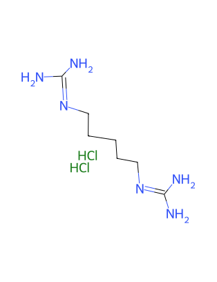 Cl.Cl.NC(N)=NCCCCCN=C(N)N